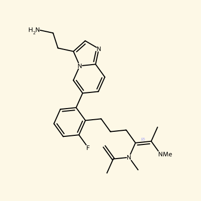 C=C(C)N(C)/C(CCCc1c(F)cccc1-c1ccc2ncc(CCN)n2c1)=C(/C)NC